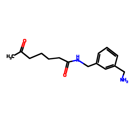 CC(=O)CCCCC(=O)NCc1cccc(CN)c1